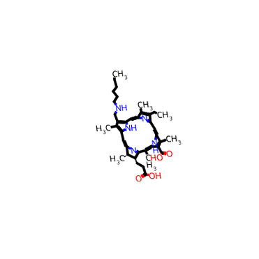 CCCCCCNCc1c(C)c2cc3nc(c(C)c4[nH]c(cc5nc(cc1[nH]2)C(C)=C5CC)c(C)c4C(=O)O)[C@@H](CCC(=O)O)[C@@H]3C